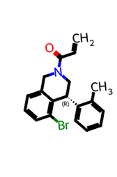 C=CC(=O)N1Cc2cccc(Br)c2[C@@H](c2ccccc2C)C1